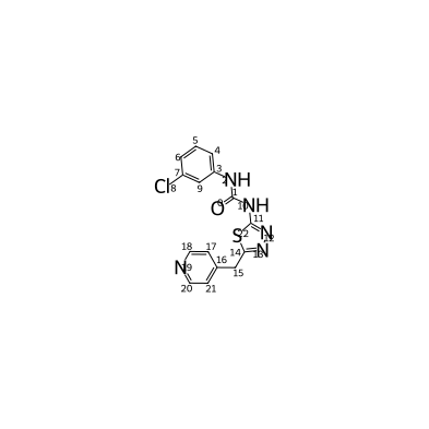 O=C(Nc1cccc(Cl)c1)Nc1nnc(Cc2ccncc2)s1